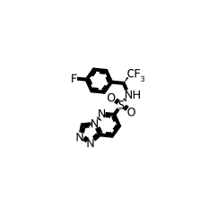 O=S(=O)(N[C@H](c1ccc(F)cc1)C(F)(F)F)c1ccc2nncn2n1